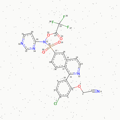 N#CCOc1cc(Cl)ccc1-c1nccc2cc(S(=O)(=O)N(OC(=O)C(F)(F)F)c3ccncn3)ccc12